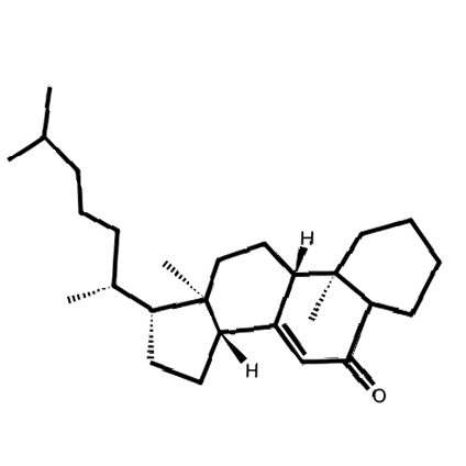 CC(C)CCC[C@@H](C)[C@H]1CC[C@H]2C3=CC(=O)C4CCCC[C@]4(C)[C@H]3CC[C@]12C